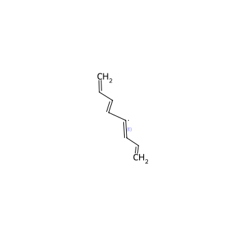 C=CC=C/[C]=C/C=C